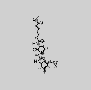 CN(C)C(=O)/C=C/CCCC(=O)Nc1cccn(Cc2nc3c(CC4CC4)cc(F)cc3[nH]2)c1=O